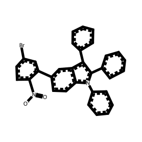 O=[N+]([O-])c1ccc(Br)cc1-c1ccc2c(c1)c(-c1ccccc1)c(-c1ccccc1)n2-c1ccccc1